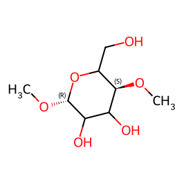 CO[C@@H]1OC(CO)[C@@H](OC)C(O)C1O